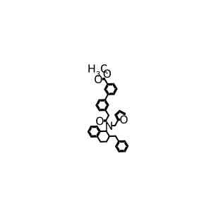 COC(=O)c1cccc(-c2cccc(CC(=O)N(Cc3ccco3)C3c4ccccc4CCC3Cc3ccccc3)c2)c1